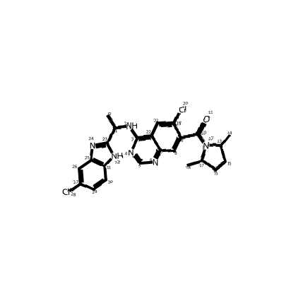 CC(Nc1ncnc2cc(C(=O)N3C(C)CCC3C)c(Cl)cc12)c1nc2cc(Cl)ccc2[nH]1